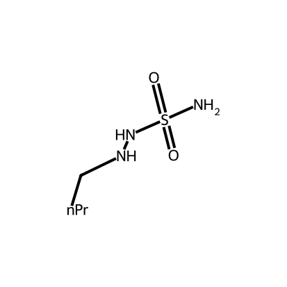 CCCCNNS(N)(=O)=O